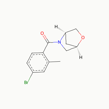 Cc1cc(Br)ccc1C(=O)N1C[C@H]2C[C@@H]1CO2